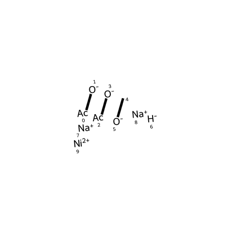 CC(=O)[O-].CC(=O)[O-].C[O-].[H-].[Na+].[Na+].[Ni+2]